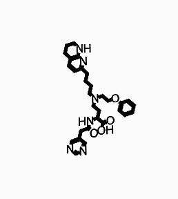 O=C(Cc1cncnc1)NC(CCN(CCCCc1ccc2c(n1)NCCC2)CCOc1ccccc1)C(=O)O